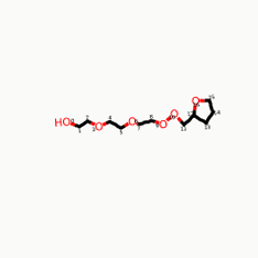 OCCOCCOCCOOCC1CCCO1